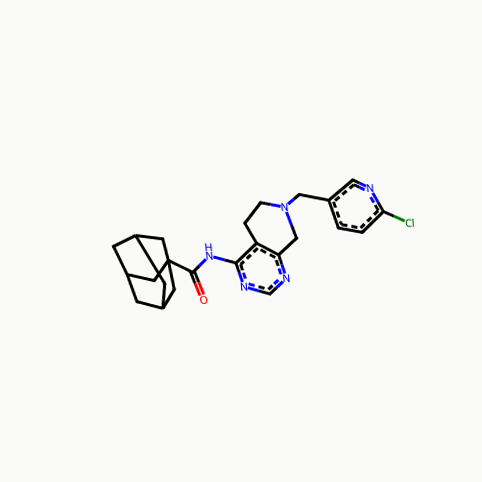 O=C(Nc1ncnc2c1CCN(Cc1ccc(Cl)nc1)C2)C12CC3CC(CC(C3)C1)C2